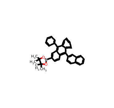 CC1(C)OB(c2ccc3c(-c4ccc5ccccc5c4)c4ccccc4c(-c4ccccc4)c3c2)OC1(C)C